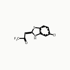 O=C(/C=C1\Nc2cc(Cl)ccc2S1)C(F)(F)F